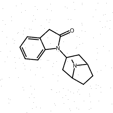 CN1C2CCC1CC(N1C(=O)Cc3ccccc31)C2